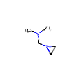 CN(C)CN1CC1